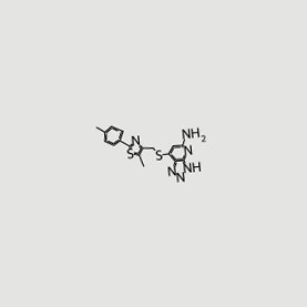 Cc1ccc(-c2nc(CSc3cc(N)nc4[nH]nnc34)c(C)s2)cc1